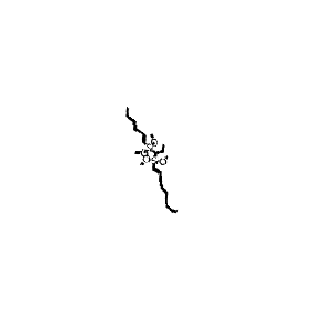 CCCCC=C[Si](OC)(OC)C(CC)[Si](C=CCCCC)(OC)OC